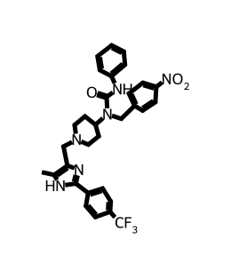 Cc1[nH]c(-c2ccc(C(F)(F)F)cc2)nc1CN1CCC(N(Cc2ccc([N+](=O)[O-])cc2)C(=O)Nc2ccccc2)CC1